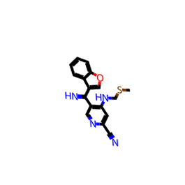 CSCNc1cc(C#N)ncc1C(=N)c1coc2ccccc12